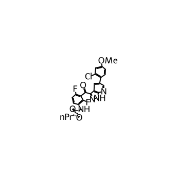 CCCS(=O)(=O)Nc1ccc(F)c(C(=O)c2n[nH]c3ncc(-c4ccc(OC)cc4Cl)cc23)c1F